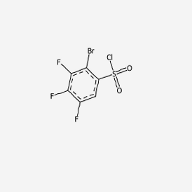 O=S(=O)(Cl)c1cc(F)c(F)c(F)c1Br